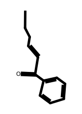 CCCC=CC(=O)c1ccccc1